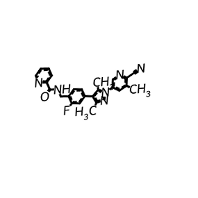 Cc1cc(-n2nc(C)c(-c3ccc(CNC(=O)c4ccccn4)c(F)c3)c2C)cnc1C#N